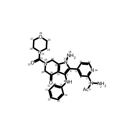 CC(=O)N(N)c1cc(-c2c(Nc3ccccc3)c3c(n2N)CN(C(=O)N2CCOCC2)CC3=O)ccn1